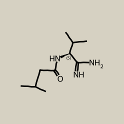 CC(C)CC(=O)N[C@H](C(=N)N)C(C)C